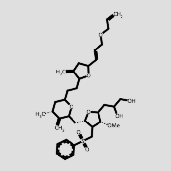 C=CCOC/C=C/C1CC(=C)C(CCC2C[C@@H](C)C(=C)C(C[C@@H]3OC(CC(O)CO)[C@H](OC)C3CS(=O)(=O)c3ccccc3)O2)O1